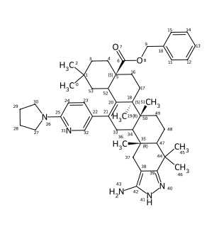 CC1(C)CC[C@]2(C(=O)OCc3ccccc3)CC[C@]3(C)C(=C(c4ccc(N5CCCC5)nc4)CC4[C@@]5(C)Cc6c(n[nH]c6N)C(C)(C)C5CC[C@]43C)C2C1